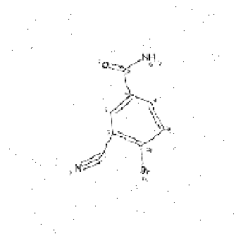 N#Cc1cc(C(N)=O)ccc1Br